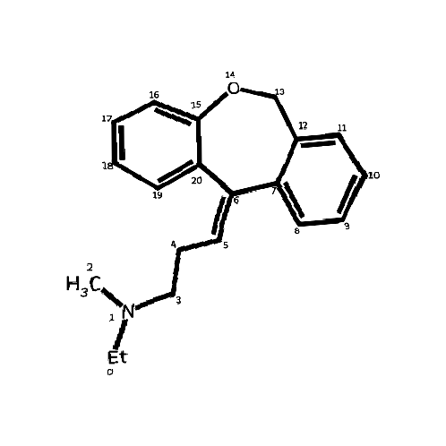 CCN(C)CCC=C1c2ccccc2COc2ccccc21